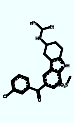 CCCC(CC)NC1CCc2[nH]c3ccc(C(=O)c4cccc(Cl)c4)cc3c2C1.CS(=O)(=O)O